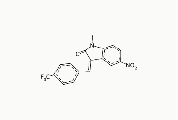 CN1C(=O)C(=Cc2ccc(C(F)(F)F)cc2)c2cc([N+](=O)[O-])ccc21